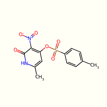 Cc1ccc(S(=O)(=O)Oc2cc(C)[nH]c(=O)c2[N+](=O)[O-])cc1